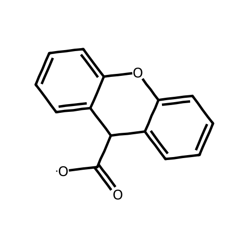 [O]C(=O)C1c2ccccc2Oc2ccccc21